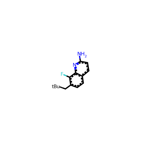 CC(C)(C)Cc1ccc2ccc(N)nc2c1F